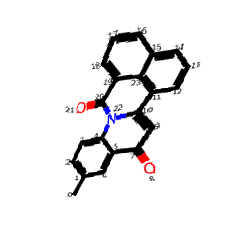 Cc1ccc2c(c1)c(=O)cc1c3cccc4cccc(c(=O)n21)c43